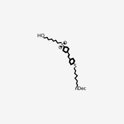 CCCCCCCCCCCCCCCCCCSc1ccc(C=Cc2ccc(S(=O)(=O)CCCCCCCCO)cc2)cc1